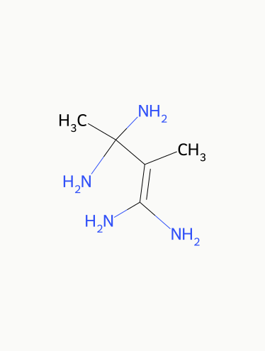 CC(=C(N)N)C(C)(N)N